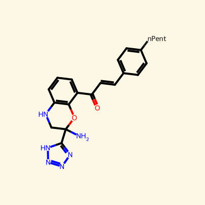 CCCCCc1ccc(C=CC(=O)c2cccc3c2OC(N)(c2nnn[nH]2)CN3)cc1